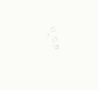 CCCCCCCCCCCc1noc(-c2cccc(C[N+]([O-])(CC)Cc3cccc(C(F)(F)F)c3)c2)n1